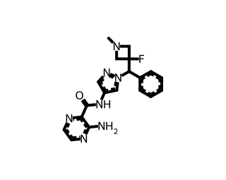 CN1CC(F)(C(c2ccccc2)n2cc(NC(=O)c3nccnc3N)cn2)C1